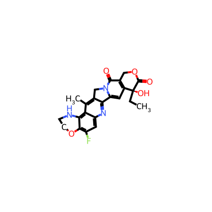 CC[C@@]1(O)C(=O)OCc2c1cc1n(c2=O)Cc2c-1nc1cc(F)c3c(c1c2C)NCCO3